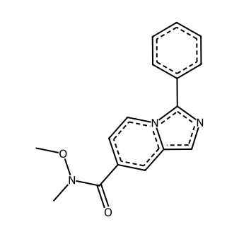 CON(C)C(=O)c1ccn2c(-c3ccccc3)ncc2c1